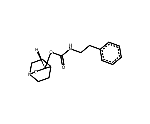 O=C(NCCc1ccccc1)O[C@H]1CN2CCC1CC2